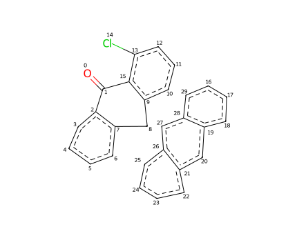 O=C1c2ccccc2Cc2cccc(Cl)c21.c1ccc2cc3ccccc3cc2c1